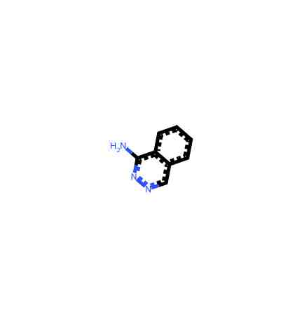 Nc1nncc2cc[c]cc12